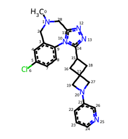 CN1Cc2cc(Cl)ccc2-n2c(nnc2C2CC3(C2)CN(c2cccnc2)C3)C1